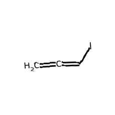 C=C=CI